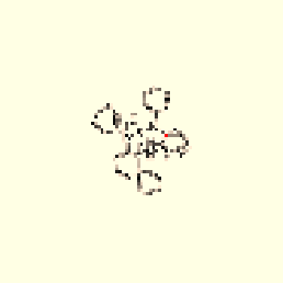 CN(c1ccccc1)C1C=CC=CC1N(c1ccccc1)S1(C)N(c2ccccc2)c2ccccc2N1c1ccccc1